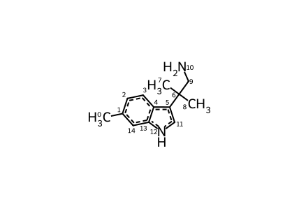 Cc1ccc2c(C(C)(C)CN)c[nH]c2c1